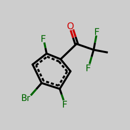 CC(F)(F)C(=O)c1cc(F)c(Br)cc1F